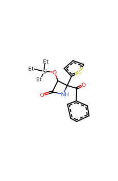 CC[Si](CC)(CC)OC1C(=O)NC1(C(=O)c1ccccc1)c1cccs1